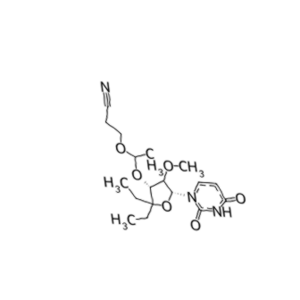 CCC1(CC)O[C@@H](n2ccc(=O)[nH]c2=O)C(OC)[C@H]1OC(C)OCCC#N